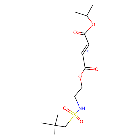 CC(C)OC(=O)/C=C/C(=O)OCCNS(=O)(=O)CC(C)(C)C